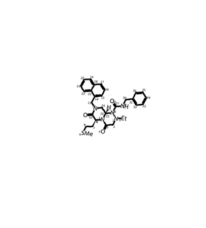 CCN1CC(=O)N2[C@@H](CCSC)C(=O)N(Cc3cccc4ccccc34)C[C@@H]2N1C(=O)NCc1ccccc1